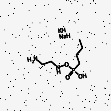 CCCCP(=O)(O)ONCCN.[KH].[NaH]